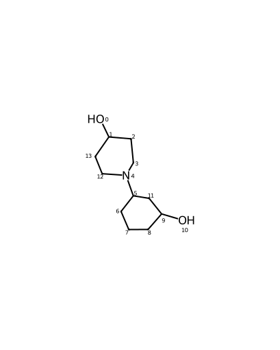 OC1CCN(C2CCCC(O)C2)CC1